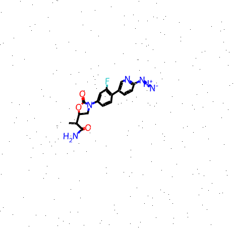 CC(C(N)=O)C1CN(c2ccc(-c3ccc(N=[N+]=[N-])nc3)c(F)c2)C(=O)O1